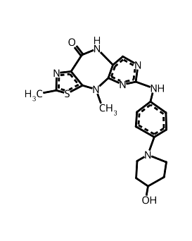 Cc1nc2c(s1)N(C)c1nc(Nc3ccc(N4CCC(O)CC4)cc3)ncc1NC2=O